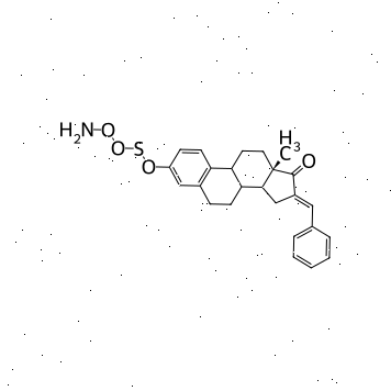 C[C@]12CCC3c4ccc(OSOON)cc4CCC3C1C/C(=C\c1ccccc1)C2=O